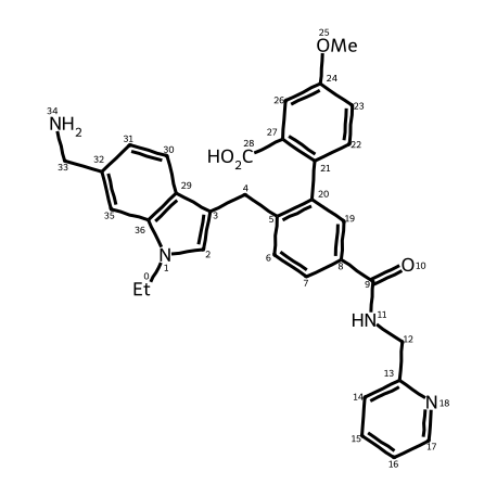 CCn1cc(Cc2ccc(C(=O)NCc3ccccn3)cc2-c2ccc(OC)cc2C(=O)O)c2ccc(CN)cc21